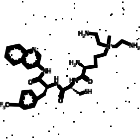 C[N+](CCN)(CCN)CCC[C@H](N)C(=O)N[C@H](CS)C(=O)N[C@@H](Cc1ccc(C(F)(F)F)cc1)C(=O)Nc1cnc2ccccc2c1